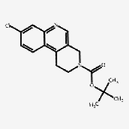 CC(C)(C)OC(=O)N1CCc2c(cnc3cc(Cl)ccc23)C1